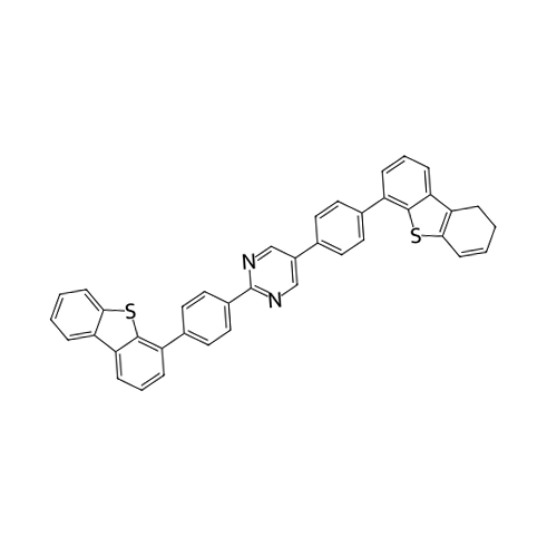 C1=Cc2sc3c(-c4ccc(-c5cnc(-c6ccc(-c7cccc8c7sc7ccccc78)cc6)nc5)cc4)cccc3c2CC1